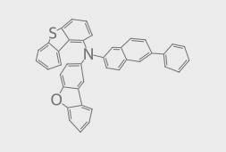 c1ccc(-c2ccc3cc(N(c4ccc5oc6ccccc6c5c4)c4cccc5sc6ccccc6c45)ccc3c2)cc1